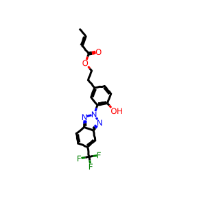 CC=CC(=O)OCCc1ccc(O)c(-n2nc3ccc(C(F)(F)F)cc3n2)c1